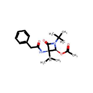 CC(=O)O[C@@H]1N(C(C)(C)C)C(=O)[C@@]1(NC(=O)Cc1ccccc1)[SiH](C)C